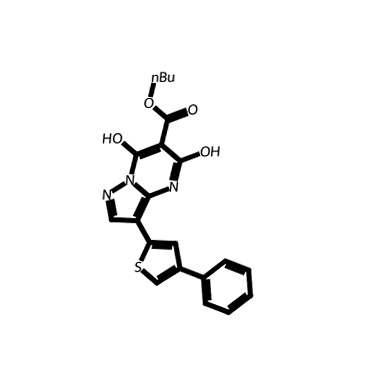 CCCCOC(=O)c1c(O)nc2c(-c3cc(-c4ccccc4)cs3)cnn2c1O